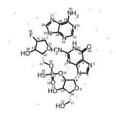 Nc1nc2c(ncn2[C@@H]2O[C@H](CO)C(O)C2OP(=O)(S)OC[C@H]2O[C@@H](n3cnc4c(N)ncnc43)C(F)C2O)c(=O)[nH]1